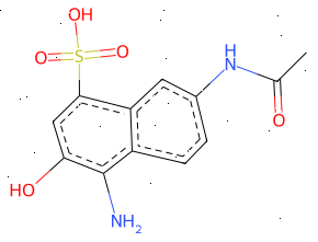 CC(=O)Nc1ccc2c(N)c(O)cc(S(=O)(=O)O)c2c1